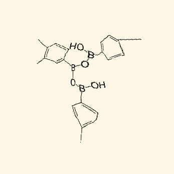 Cc1ccc(B(O)OB(OB(O)c2ccc(C)cc2)c2ccc(C)c(C)c2)cc1